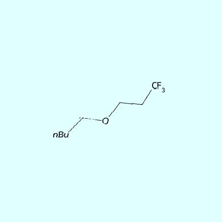 CCCC[CH]OCCC(F)(F)F